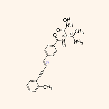 Cc1ccccc1C#C/C=C/c1ccc(C(=O)N[C@H](C(=O)NO)[C@@H](C)N)cc1